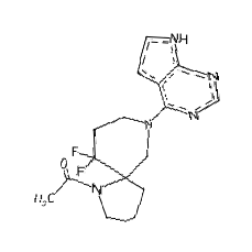 CC(=O)N1CCCC12CN(c1ncnc3[nH]ccc13)CCC2(F)F